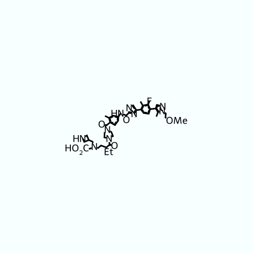 CCC(CCN(CC(=O)O)CC1CNC1)C(=O)N1CCN(C(=O)c2ccc(NC(=O)c3ncc(-c4ccc(-c5cnn(CCOC)c5C)c(F)c4C)n3C)cc2C)CC1